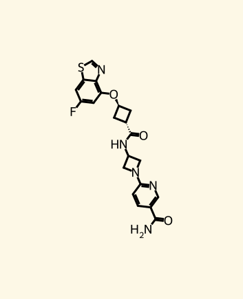 NC(=O)c1ccc(N2CC(NC(=O)[C@H]3C[C@H](Oc4cc(F)cc5scnc45)C3)C2)nc1